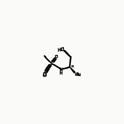 CC(C)(C)[C@H](CO)NS(C)(=O)=O